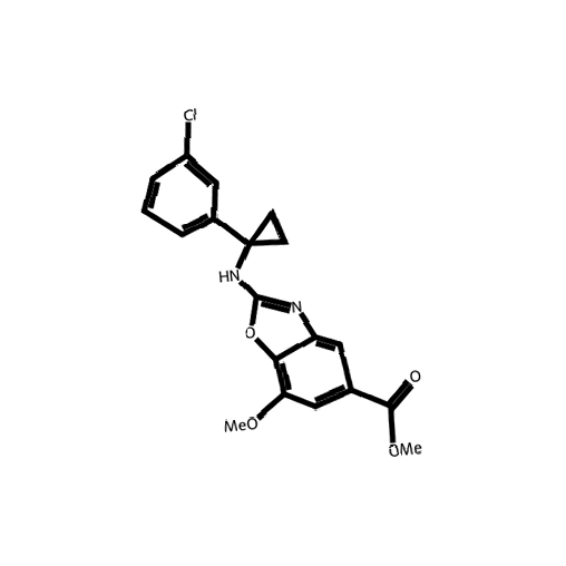 COC(=O)c1cc(OC)c2oc(NC3(c4cccc(Cl)c4)CC3)nc2c1